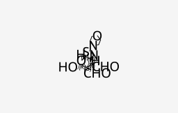 O=C[C@@H]1[C@H](C=O)[C@H](CO)O[C@@H]2SC(N3CCOCC3)=N[C@H]12